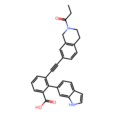 CCC(=O)N1CCc2ccc(C#Cc3cccc(C(=O)O)c3-c3ccc4cc[nH]c4c3)cc2C1